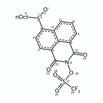 CCCCCCCC[S+]([O-])c1ccc2c3c(cccc13)C(=O)N(OS(=O)(=O)C(F)(F)F)C2=O